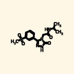 CC(C)NC(=O)Cn1c(-c2cccc(S(C)(=O)=O)c2)n[nH]c1=O